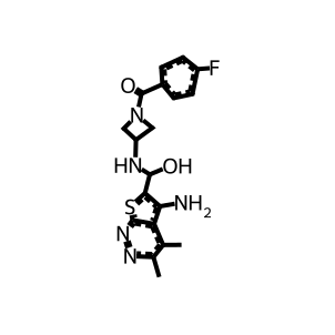 Cc1nnc2sc(C(O)NC3CN(C(=O)c4ccc(F)cc4)C3)c(N)c2c1C